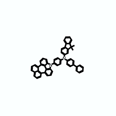 CC1(C)c2ccccc2-c2ccc(N(c3ccc(-c4ccccc4)cc3)c3ccc(-n4c5cccc6c5c5c(cccc54)-c4cccc5cccc-6c45)cc3)cc21